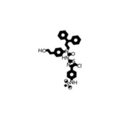 CS(=O)(=O)Nc1ccc(-c2nc(NC(=O)N(CCC(c3ccccc3)c3ccccc3)c3ccc(CCO)cc3)sc2Cl)cc1